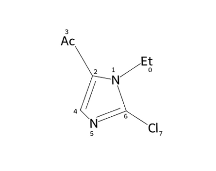 CCn1c(C(C)=O)cnc1Cl